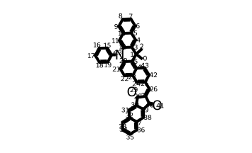 CC1(C)c2cc3ccccc3cc2N(c2ccccc2)c2ccc3cc(C=C4C(=O)c5cc6ccccc6cc5C4=O)ccc3c21